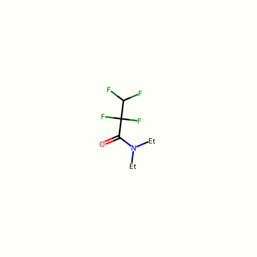 CCN(CC)C(=O)C(F)(F)C(F)F